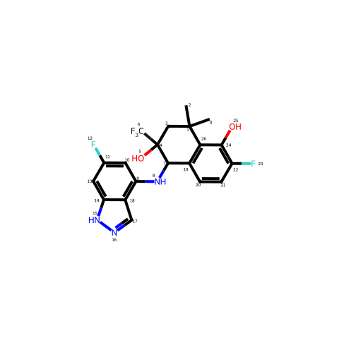 CC1(C)CC(O)(C(F)(F)F)C(Nc2cc(F)cc3[nH]ncc23)c2ccc(F)c(O)c21